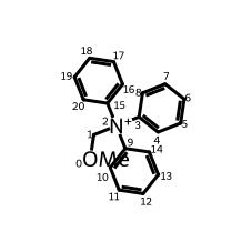 COC[N+](c1ccccc1)(c1ccccc1)c1ccccc1